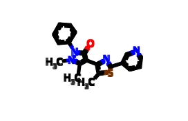 Cc1sc(-c2cccnc2)nc1-c1c(C)n(C)n(-c2ccccc2)c1=O